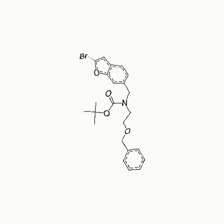 CC(C)(C)OC(=O)N(CCOCc1ccccc1)Cc1ccc2cc(Br)oc2c1